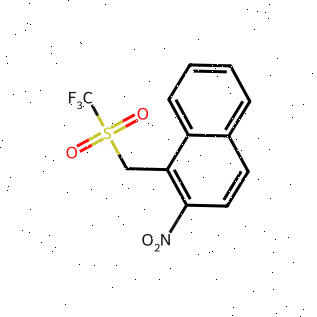 O=[N+]([O-])c1ccc2ccccc2c1CS(=O)(=O)C(F)(F)F